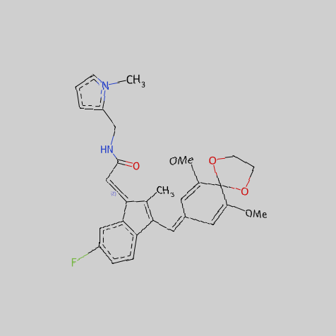 COC1=CC(=CC2=C(C)/C(=C\C(=O)NCc3cccn3C)c3cc(F)ccc32)C=C(OC)C12OCCO2